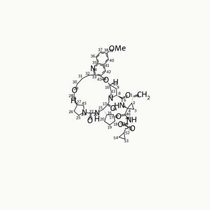 C=C[C@@H]1C[C@]1(NC(=O)[C@@H]1C[C@@H]2CN1C(=O)[C@H](C1CCCC1)NC(=O)N1CC[C@H](COCCCc3nc4ccc(OC)cc4cc3O2)C1)C(=O)NS(=O)(=O)C1CC1